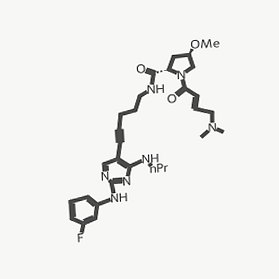 CCCNc1nc(Nc2cccc(F)c2)ncc1C#CCCCNC(=O)[C@@H]1C[C@@H](OC)CN1C(=O)/C=C/CN(C)C